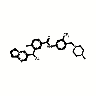 CC(=O)C(c1cnc2cccn2c1)c1cc(C(=O)Nc2ccc(CN3CCN(C)CC3)c(C(F)(F)F)c2)ccc1C